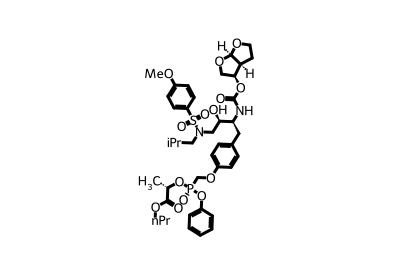 CCCOC(=O)[C@H](C)OP(=O)(COc1ccc(C[C@H](NC(=O)O[C@H]2CO[C@H]3OCC[C@H]32)[C@H](O)CN(CC(C)C)S(=O)(=O)c2ccc(OC)cc2)cc1)Oc1ccccc1